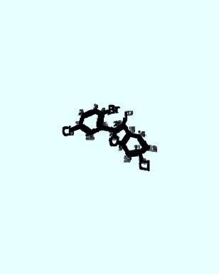 Clc1ccc(Br)c(-c2oc3cc(Cl)ccc3c2I)c1